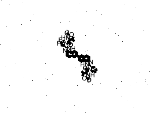 COC(=O)N[C@H](C(=O)N1CC(F)(F)C[C@H]1c1nc2ccc3cc(-c4ccc5c(ccc6nc([C@@H]7C[Si](C)(C)CN7C(=O)[C@@H](NC(=O)OC)C(C)C)[nH]c65)c4)ccc3c2[nH]1)C(C)C